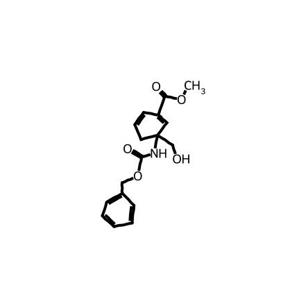 COC(=O)C1=CC(CO)(NC(=O)OCc2ccccc2)CC=C1